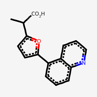 CC(C(=O)O)c1ccc(-c2cccc3ncccc23)o1